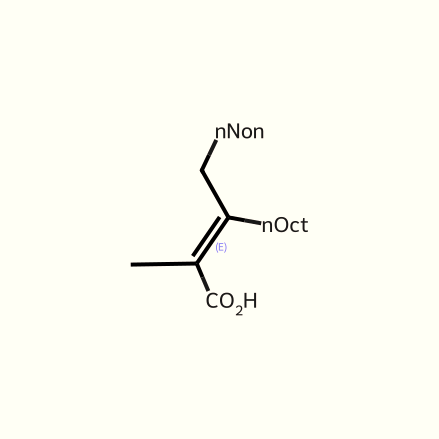 CCCCCCCCCC/C(CCCCCCCC)=C(\C)C(=O)O